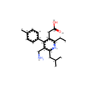 CCc1nc(CC(C)C)c(CN)c(-c2ccc(C)cc2)c1CC(=O)O